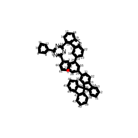 c1ccc(-c2nc(-c3ccccc3)nc(-c3cccc4sc5ccc(-c6cccc(-c7ccc8c(c7)C7(c9ccccc9-c9ccccc97)c7ccccc7-8)c6)cc5c34)n2)cc1